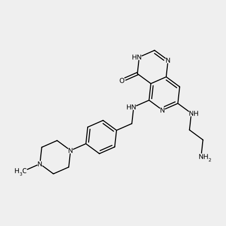 CN1CCN(c2ccc(CNc3nc(NCCN)cc4nc[nH]c(=O)c34)cc2)CC1